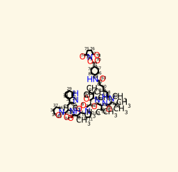 CC[C@H](C)[C@@H]([C@@H](CC(=O)N1CCC[C@H]1[C@H](OC)[C@@H](C)C(=O)N[C@@H](Cc1c[nH]c2ccccc12)C(=O)N1CCCCO1)OC)N(C)C(=O)[C@@H](NC(=O)[C@H](C(C)C)N(C)CCCCCC(=O)N[C@H]1CC[C@H](C(=O)ON2C(=O)CCC2=O)CC1)C(C)C